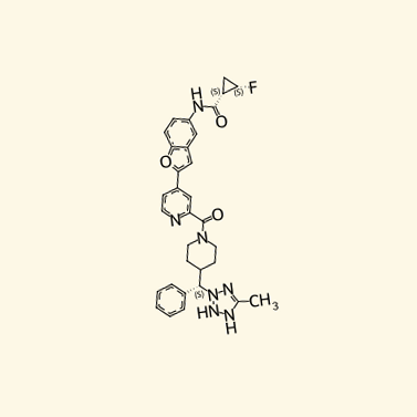 CC1=NN([C@H](c2ccccc2)C2CCN(C(=O)c3cc(-c4cc5cc(NC(=O)[C@@H]6C[C@@H]6F)ccc5o4)ccn3)CC2)NN1